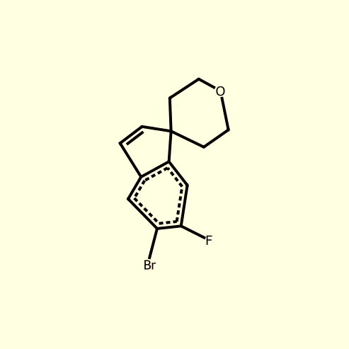 Fc1cc2c(cc1Br)C=CC21CCOCC1